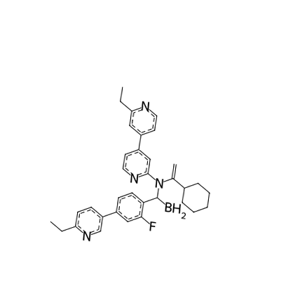 BC(c1ccc(-c2ccc(CC)nc2)cc1F)N(C(=C)C1CCCCC1)c1cc(-c2ccnc(CC)c2)ccn1